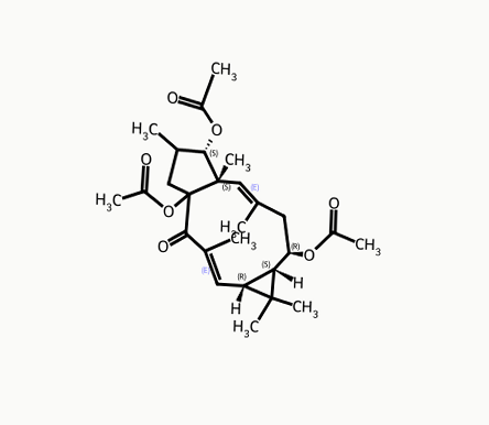 CC(=O)O[C@@H]1C/C(C)=C/[C@@]2(C)[C@@H](OC(C)=O)C(C)CC2(OC(C)=O)C(=O)/C(C)=C/[C@@H]2[C@H]1C2(C)C